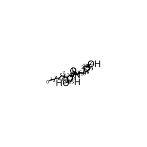 CCCCCCC(C)(C)c1cc(C(=O)NCCc2ccc(O)cc2)ccc1O